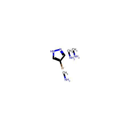 Brc1cn[nH]c1.CN.CN.CN